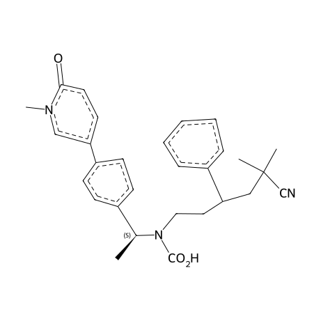 C[C@@H](c1ccc(-c2ccc(=O)n(C)c2)cc1)N(CCC(CC(C)(C)C#N)c1ccccc1)C(=O)O